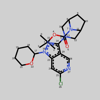 CC(C)(C)OC(=O)N1C2CCC1CN(c1nn(C3CCCCO3)c3cc(Cl)ncc13)C2